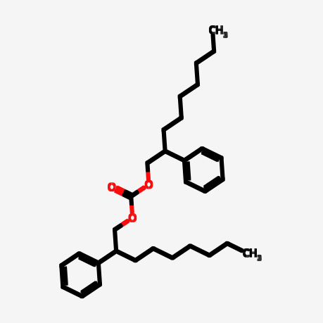 CCCCCCCC(COC(=O)OCC(CCCCCCC)c1ccccc1)c1ccccc1